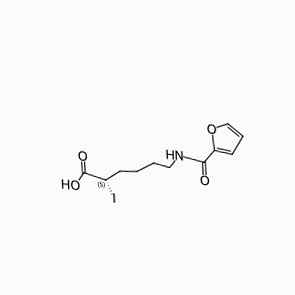 O=C(NCCCC[C@H](I)C(=O)O)c1ccco1